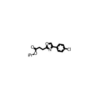 CC(C)OC(=O)CCc1nc(-c2ccc(Cl)cc2)co1